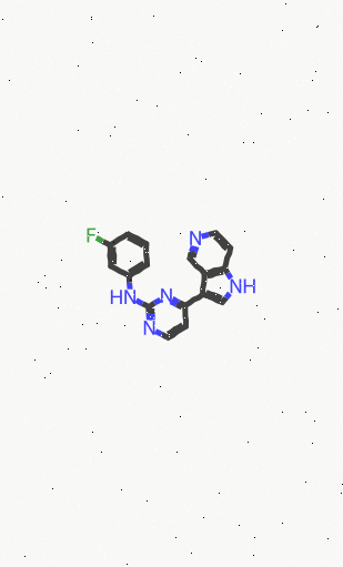 Fc1cccc(Nc2nccc(-c3c[nH]c4ccncc34)n2)c1